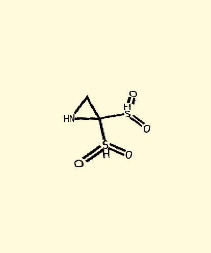 O=[SH](=O)C1([SH](=O)=O)CN1